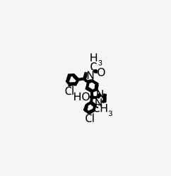 CC(=O)n1cc(-c2cccc(Cl)c2)c2cc(C(O)(c3ccc(Cl)cc3)c3nccn3C)ccc21